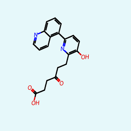 O=C(O)CCC(=O)CCc1nc(-c2cccc3ncccc23)ccc1O